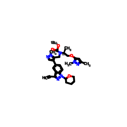 C#Cc1nn(C2CCCCO2)c2ccc(-c3cnn(C)c3CN(C(=O)OC(C)(C)C)[C@@H](C)COc3cc(C)nn3C)cc12